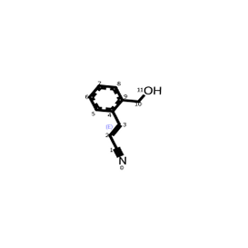 N#C/C=C/c1ccccc1CO